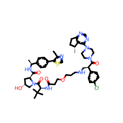 Cc1ncsc1-c1ccc([C@H](C)NC(=O)[C@@H]2C[C@@H](O)CN2C(=O)[C@@H](NC(=O)CCOCCCNC[C@@H](C(=O)N2CCN(c3ncnc4c3[C@H](C)CC4)CC2)c2ccc(Cl)cc2)C(C)(C)C)cc1